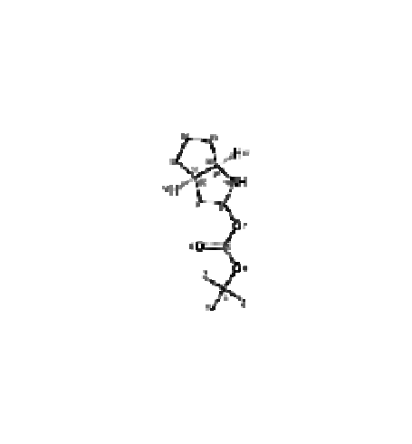 CC(C)(C)OC(=O)OC1C[C@H]2CCC[C@H]2N1